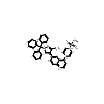 Cc1nn(C(c2ccccc2)(c2ccccc2)c2ccccc2)cc1-c1ccc2nccc(N3C=CN(S(N)(=O)=O)C=C3)c2c1